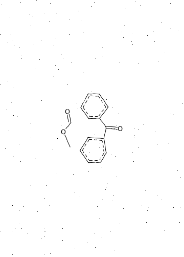 COC=O.O=C(c1ccccc1)c1ccccc1